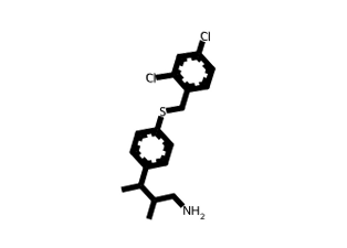 CC(CN)C(C)c1ccc(SCc2ccc(Cl)cc2Cl)cc1